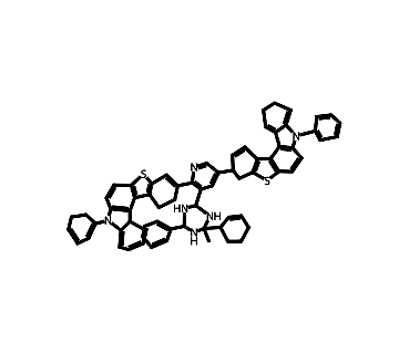 CC1(C2C=CCCC2)NC(c2ccccc2)NC(c2cc(C3C=Cc4c(sc5ccc6c(c7c(n6-c6ccccc6)=CCCC=7)c45)C3)cnc2C2=Cc3sc4ccc5c(c4c3CC2)C2CC=CC=C2N5C2=CC=CCC2)N1